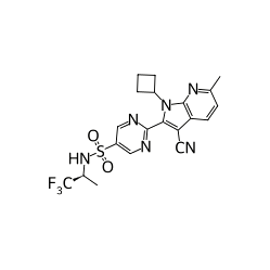 Cc1ccc2c(C#N)c(-c3ncc(S(=O)(=O)N[C@@H](C)C(F)(F)F)cn3)n(C3CCC3)c2n1